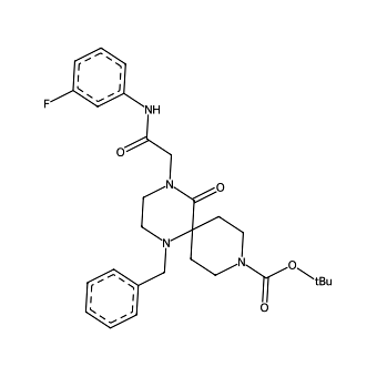 CC(C)(C)OC(=O)N1CCC2(CC1)C(=O)N(CC(=O)Nc1cccc(F)c1)CCN2Cc1ccccc1